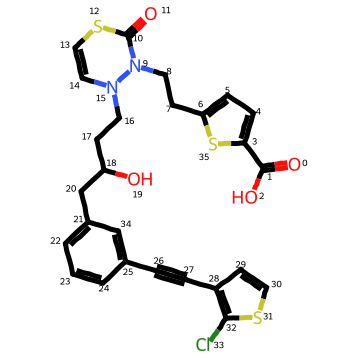 O=C(O)c1ccc(CCN2C(=O)SC=CN2CCC(O)Cc2cccc(C#Cc3ccsc3Cl)c2)s1